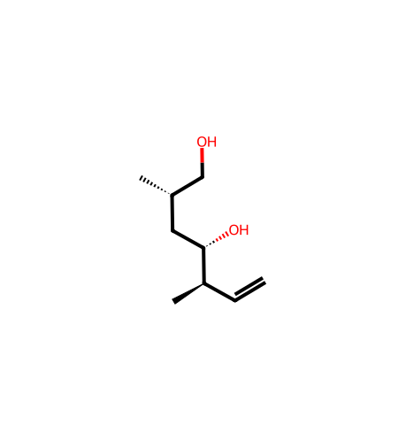 C=C[C@@H](C)[C@@H](O)C[C@H](C)CO